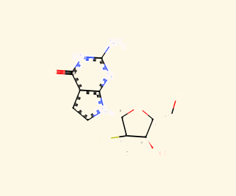 C[C@@]1(S)[C@H](O)[C@@H](CO)O[C@H]1n1ccc2c(=O)[nH]c(N)nc21